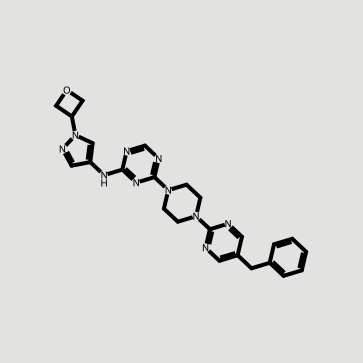 c1ccc(Cc2cnc(N3CCN(c4ncnc(Nc5cnn(C6COC6)c5)n4)CC3)nc2)cc1